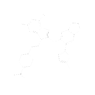 CC(=O)N1CCC(CCn2c(Cc3cc4c(cc3-c3ccc(C)o3)OCO4)nc3c(N)nc(F)nc32)CC1